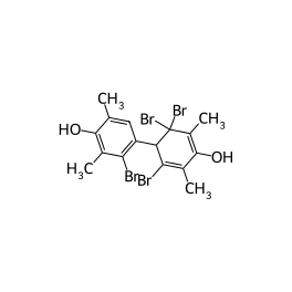 CC1=C(Br)C(c2cc(C)c(O)c(C)c2Br)C(Br)(Br)C(C)=C1O